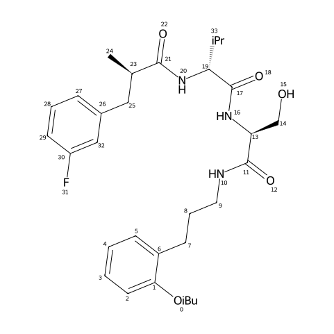 CC(C)COc1ccccc1CCCNC(=O)[C@H](CO)NC(=O)[C@H](NC(=O)[C@H](C)Cc1cccc(F)c1)C(C)C